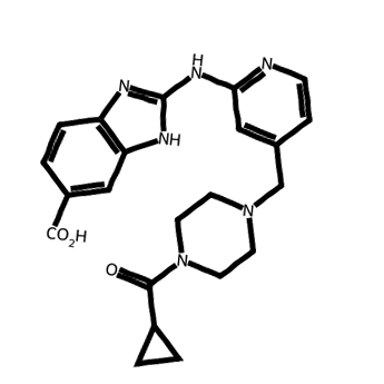 O=C(O)c1ccc2nc(Nc3cc(CN4CCN(C(=O)C5CC5)CC4)ccn3)[nH]c2c1